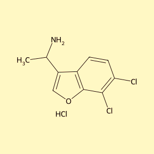 CC(N)c1coc2c(Cl)c(Cl)ccc12.Cl